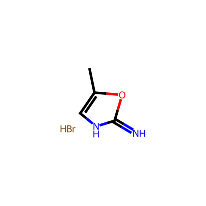 Br.Cc1c[nH]c(=N)o1